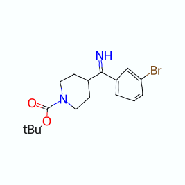 CC(C)(C)OC(=O)N1CCC(C(=N)c2cccc(Br)c2)CC1